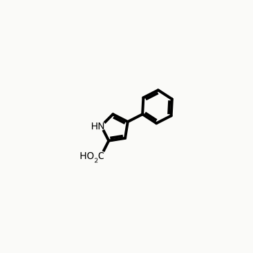 O=C(O)c1cc(-c2ccccc2)c[nH]1